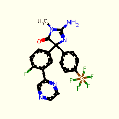 CN1C(=O)C(c2ccc(S(F)(F)(F)(F)F)cc2)(c2ccc(F)c(-c3cnccn3)c2)N=C1N